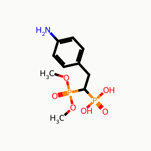 COP(=O)(OC)C(Cc1ccc(N)cc1)P(=O)(O)O